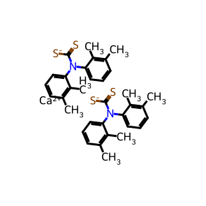 Cc1cccc(N(C(=S)[S-])c2cccc(C)c2C)c1C.Cc1cccc(N(C(=S)[S-])c2cccc(C)c2C)c1C.[Ca+2]